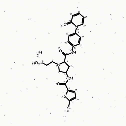 O=C(O)CCN1CC(NC(=O)c2ccc(Cl)s2)CC1C(=O)Nc1ccc(-n2ccccc2=O)cc1.[LiH]